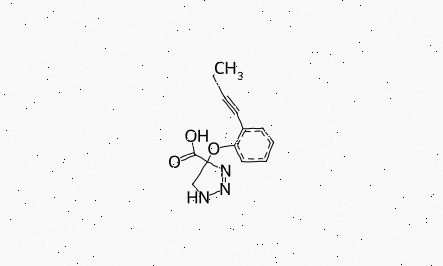 CCC#Cc1ccccc1OC1(C(=O)O)CNN=N1